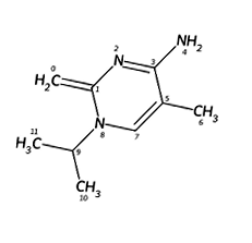 C=C1N=C(N)C(C)=CN1C(C)C